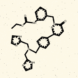 CCOC(=O)Nc1cccc(Cn2nc(-c3ccc(CN(Cc4ncc[nH]4)Cc4ncc[nH]4)cc3)ccc2=O)c1